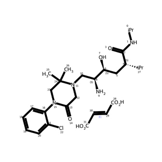 CC(C)NC(=O)[C@@H](C[C@H](O)[C@@H](N)CN1CC(=O)N(c2ccccc2Cl)CC1(C)C)C(C)C.O=C(O)/C=C/C(=O)O